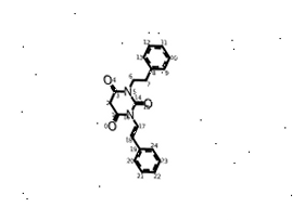 O=C1CC(=O)N(CCc2ccccc2)C(=O)N1/C=C/c1ccccc1